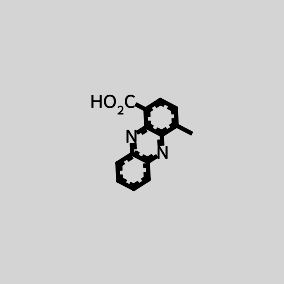 Cc1ccc(C(=O)O)c2nc3ccccc3nc12